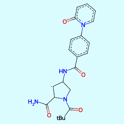 CC(C)(C)C(=O)N1CC(NC(=O)c2ccc(-n3ccccc3=O)cc2)[CH]C1C(N)=O